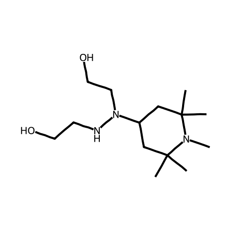 CN1C(C)(C)CC(N(CCO)NCCO)CC1(C)C